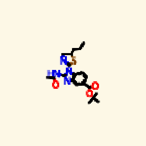 CCCC1CN=C(n2c(NC(C)=O)nc3cc(C(=O)OC(C)(C)C)ccc32)S1